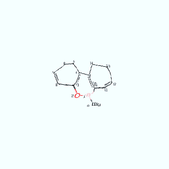 CC(C)(C)B1OC2=C(CCC=C2)C2=C1C=CCC2